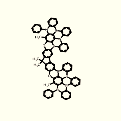 Cc1c2c3c4c5c1N(c1ccccc1)c1ccccc1B5c1ccccc1N4c1ccccc1B3c1cc3c(cc1O2)C(C)(C)c1cc2c(cc1-3)B1c3ccccc3N3c4ccccc4B4c5ccccc5N(c5ccccc5)c5c(C)c(c1c3c54)O2